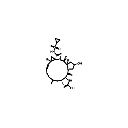 CC1CCC=C[C@@H]2C[C@@]2(C(=O)NS(=O)(=O)C2CC2)NC(=O)[C@@H]2C[C@@H](O)CN2C(=O)[C@@H](NC(=O)O)[C@H](C)C1